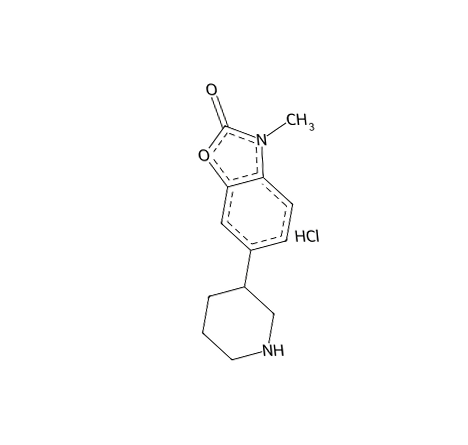 Cl.Cn1c(=O)oc2cc(C3CCCNC3)ccc21